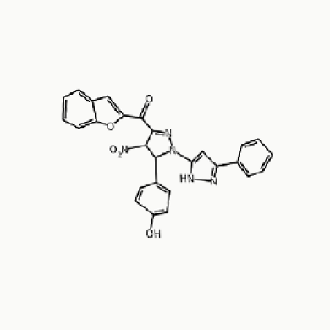 O=C(C1=NN(c2cc(-c3ccccc3)n[nH]2)C(c2ccc(O)cc2)C1[N+](=O)[O-])c1cc2ccccc2o1